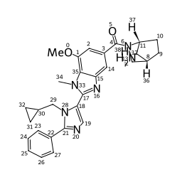 COc1cc(C(=O)N2C[C@H]3CC[C@@H]2[C@@H]3N)cc2nc(-c3cnc(-c4ccccc4)n3CC3CC3)n(C)c12